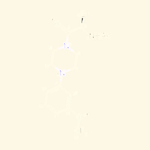 CC[C@@H](NC(C)=O)C(=O)N1CCN(c2cccc(OC(F)(F)F)c2)CC1